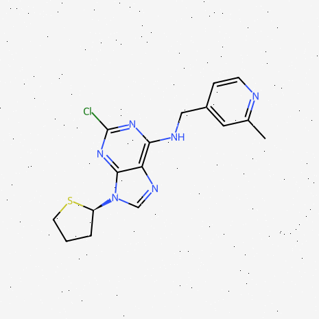 Cc1cc(CNc2nc(Cl)nc3c2ncn3[C@H]2CCCS2)ccn1